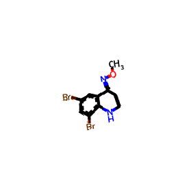 CON=C1CCNc2c(Br)cc(Br)cc21